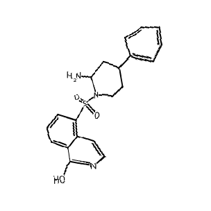 NC1CC(c2ccccc2)CCN1S(=O)(=O)c1cccc2c(O)nccc12